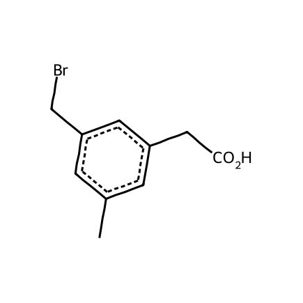 Cc1cc(CBr)cc(CC(=O)O)c1